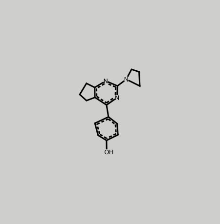 Oc1ccc(-c2nc(N3CCC3)nc3c2CCC3)cc1